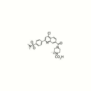 C[C@@H]1CN(C(=O)c2ccc3c(Cl)cc(-c4ccc(S(=O)(=O)N(C)C)cc4)nc3c2)CCN1C(=O)O